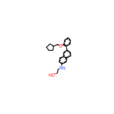 OCCNc1ccc2cc(-c3ccccc3OCC3CCCC3)ccc2c1